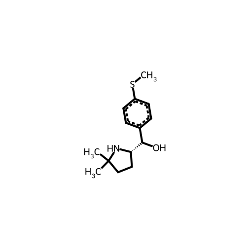 CSc1ccc(C(O)[C@@H]2CCC(C)(C)N2)cc1